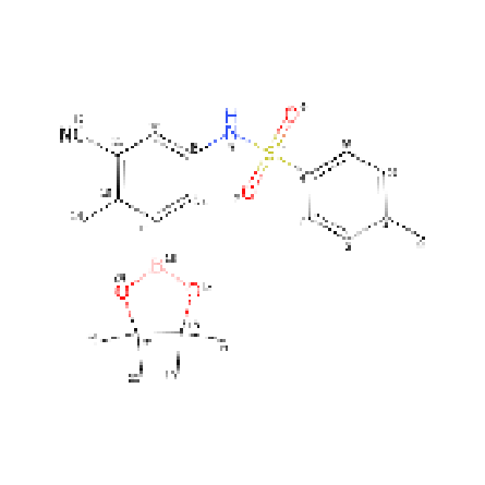 Cc1ccc(S(=O)(=O)Nc2cc(C#N)c(C)c(B3OC(C)(C)C(C)(C)O3)c2)cc1